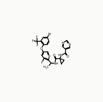 CC(NC(=O)C1(NC(=O)c2cncnc2)CC1)c1ncc(Oc2ccc(Br)cc2C(F)(F)F)cc1F